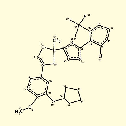 COc1ccc(C2=NOC(C)(c3nc(-c4c(Cl)cccc4C(F)(F)F)no3)C2)cc1OC1CCCC1